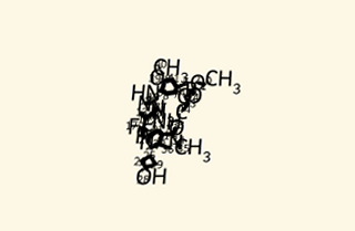 CCOP(=O)(Cc1ccc(Nc2ncc(C(F)(F)F)c(Nc3cnc([C@H]4C[C@@H](O)C4)c4c3C(=O)N(C)C4)n2)c(OC)c1)OCC